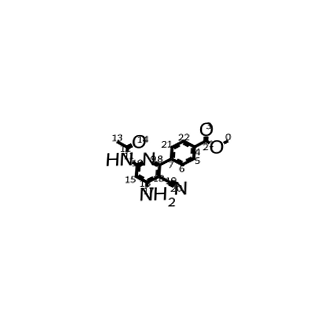 COC(=O)c1ccc(-c2nc(NC(C)=O)cc(N)c2C#N)cc1